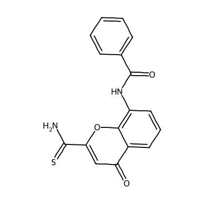 NC(=S)c1cc(=O)c2cccc(NC(=O)c3ccccc3)c2o1